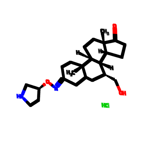 C[C@]12CCC(=NO[C@@H]3CCNC3)CC1C[C@@H](CO)[C@@H]1[C@@H]2CC[C@]2(C)C(=O)CC[C@@H]12.Cl